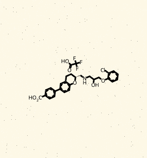 O=C(O)C(F)(F)F.O=C(O)c1ccc(-c2ccc3c(c2)CC[C@H](CNCC(O)COc2ccccc2Cl)O3)cc1